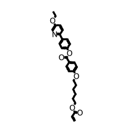 C=CC(=O)OCCCCCCOc1ccc(C(=O)Oc2ccc(-c3ccc(OCC)cn3)cc2)cc1